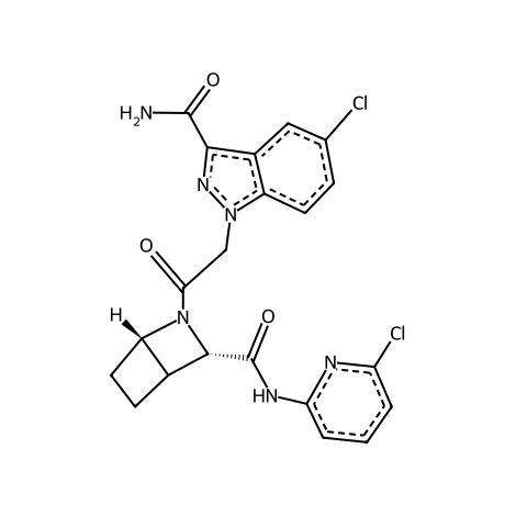 NC(=O)c1nn(CC(=O)N2[C@H](C(=O)Nc3cccc(Cl)n3)C3CC[C@@H]32)c2ccc(Cl)cc12